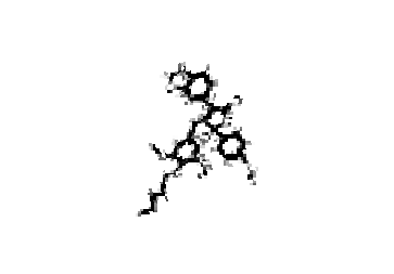 CCCCCOc1c(OC)cc(CC2=C(c3ccc4c(c3)OCO4)C(=O)OC2(O)c2ccc(OC)cc2)cc1OC